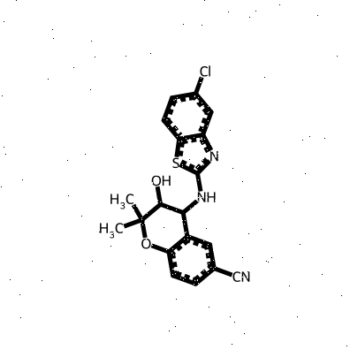 CC1(C)Oc2ccc(C#N)cc2C(Nc2nc3cc(Cl)ccc3s2)C1O